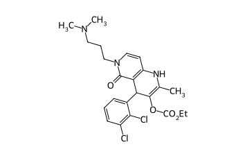 CCOC(=O)OC1=C(C)Nc2ccn(CCCN(C)C)c(=O)c2C1c1cccc(Cl)c1Cl